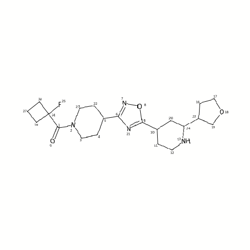 O=C(N1CCC(c2noc(C3CCNC(C4CCOC4)C3)n2)CC1)C1(F)CCC1